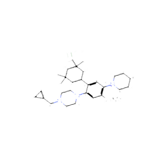 COc1cc(N2CCN(CC3CC3)CC2)c(C2CC(C)(C)CC(C)(C)C2)cc1N1CCCCC1.Cl